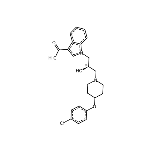 CC(=O)c1cn(C[C@H](O)CN2CCC(Oc3ccc(Cl)cc3)CC2)c2ccccc12